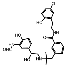 CC(C)(Cc1cccc(C(=O)NCCc2cc(Cl)ccc2O)c1)NC[C@@H](O)c1ccc(O)c(NC=O)c1